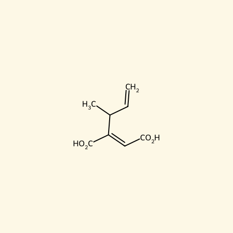 C=CC(C)C(=CC(=O)O)C(=O)O